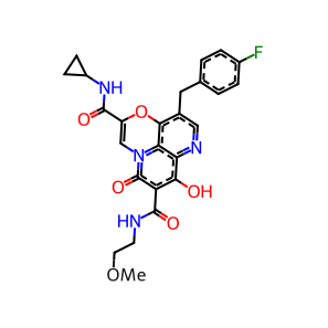 COCCNC(=O)c1c(O)c2ncc(Cc3ccc(F)cc3)c3c2n(c1=O)C=C(C(=O)NC1CC1)O3